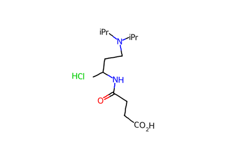 CC(CCN(C(C)C)C(C)C)NC(=O)CCC(=O)O.Cl